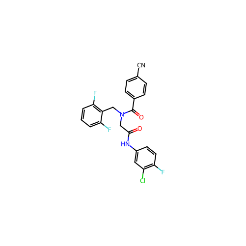 N#Cc1ccc(C(=O)N(CC(=O)Nc2ccc(F)c(Cl)c2)Cc2c(F)cccc2F)cc1